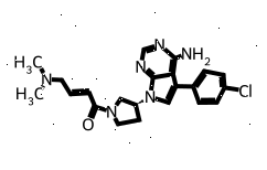 CN(C)C/C=C/C(=O)N1CC[C@@H](n2cc(-c3ccc(Cl)cc3)c3c(N)ncnc32)C1